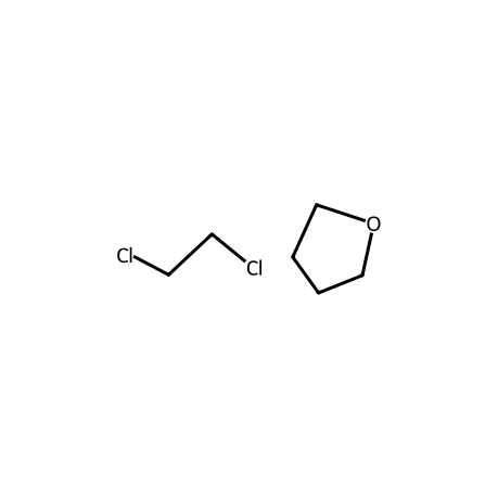 C1CCOC1.ClCCCl